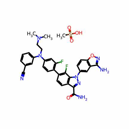 CN(C)CCN(c1cccc(C#N)c1)c1ccc(-c2ccc3c(C(N)=O)nn(-c4ccc5onc(N)c5c4)c3c2F)c(F)c1.CS(=O)(=O)O